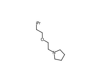 CC(C)CCOCCN1CCCC1